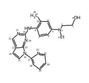 CCN(CCO)c1ccc(Nc2ncc3ccn(-c4ccccn4)c3n2)c(C)c1